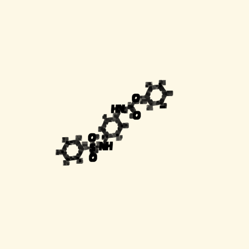 O=C(Nc1ccc(NS(=O)(=O)c2ccccc2)cc1)Oc1ccccc1